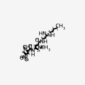 CCCCCNC(=N)CCNC(=O)c1cc(NC(=O)c2cc([N+](=O)[O-])cn2C)cn1C